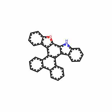 c1ccc2c(c1)[nH]c1c3oc4ccccc4c3c3c4ccccc4c4ccccc4c3c21